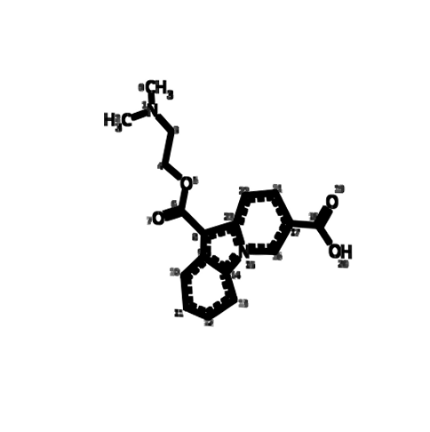 CN(C)CCOC(=O)c1c2ccccc2n2cc(C(=O)O)ccc12